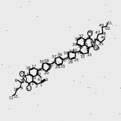 C#C/C=C1/C(=O)N(C(C)CCCC)C(=O)c2ccc(-c3ccc(-c4ccc(-c5ccc(-c6ccc7c8c(cccc68)C(=O)N(C(CC)CCCCC)C7=O)cc5)cc4)cc3)c(C)c21